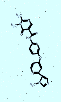 Cc1ncc(C(=O)Nc2ccc(Oc3ccnc(-c4cncn4C)c3)cn2)c(=O)n1C